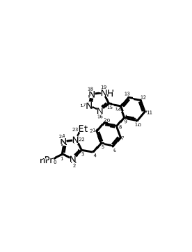 CCCc1nc(Cc2ccc(-c3ccccc3-c3nnn[nH]3)cc2)n(CC)n1